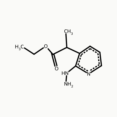 CCOC(=O)C(C)c1cccnc1NN